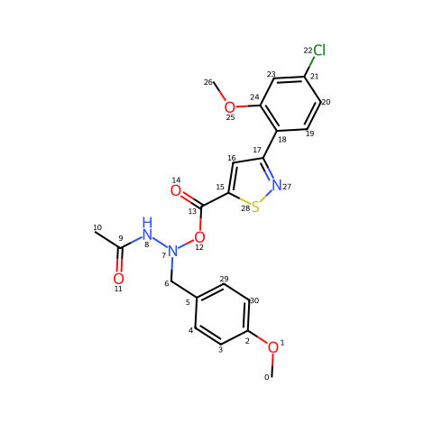 COc1ccc(CN(NC(C)=O)OC(=O)c2cc(-c3ccc(Cl)cc3OC)ns2)cc1